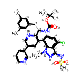 Cc1cc(C)cc(C[C@H](NC(=O)OC(C)(C)C)c2ncc(-c3cccnc3)cc2-c2ccc(Cl)c3c(NS(C)(=O)=O)nn(C)c23)c1